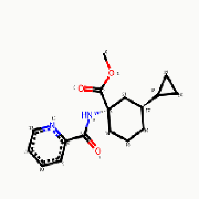 COC(=O)[C@]1(NC(=O)c2ccccn2)CCC[C@H](C2CC2)C1